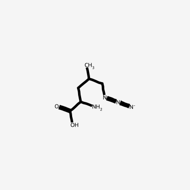 CC(CN=[N+]=[N-])CC(N)C(=O)O